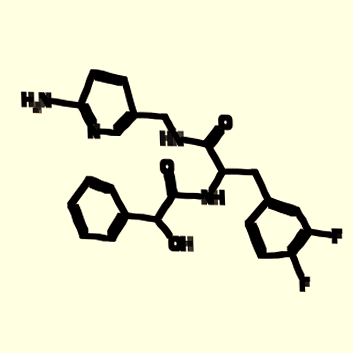 Nc1ccc(CNC(=O)C(Cc2ccc(F)c(F)c2)NC(=O)C(O)c2ccccc2)cn1